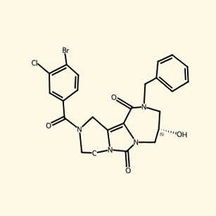 O=C(c1ccc(Br)c(Cl)c1)N1CCn2c(c3n(c2=O)C[C@@H](O)CN(Cc2ccccc2)C3=O)C1